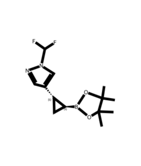 CC1(C)OB([C@H]2C[C@@H]2c2cnn(C(F)F)c2)OC1(C)C